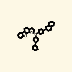 c1ccc(-c2ccc(N(c3ccc(-c4ccc5ccccc5c4)cc3)c3ccc4ccc5c6ccccc6oc5c4c3)cc2)cc1